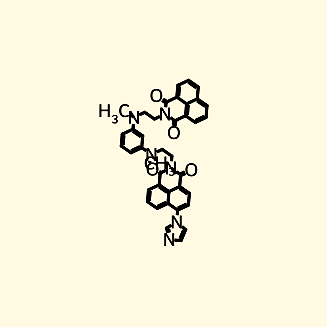 CN(CCN1C(=O)c2cccc3cccc(c23)C1=O)c1cccc(N(C)CCN2C(=O)c3cccc4c(-n5ccnc5)ccc(c34)C2=O)c1